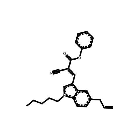 C=CCc1ccc2c(c1)c(/C=C(\C#N)C(=O)Oc1ccccc1)cn2CCCCC